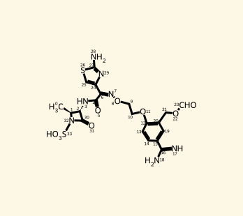 C[C@H]1[C@H](NC(=O)/C(=N\OCCOc2ccc(C(=N)N)cc2COC=O)c2csc(N)n2)C(=O)N1S(=O)(=O)O